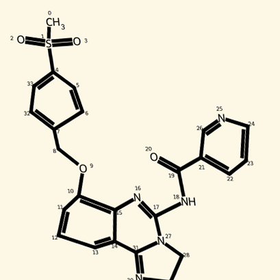 CS(=O)(=O)c1ccc(COc2cccc3c2N=C(NC(=O)c2cccnc2)N2CCN=C32)cc1